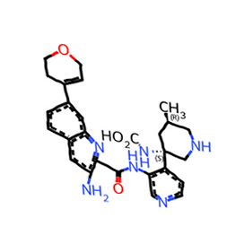 C[C@H]1CNC[C@@](NC(=O)O)(c2ccncc2NC(=O)c2nc3cc(C4=CCOCC4)ccc3cc2N)C1